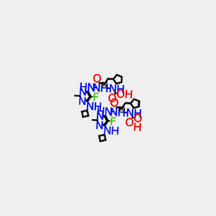 Cc1nc(NNC(=O)[C@@H](CNC(=O)O)CC2CCCC2)c(F)c(NC2CCC2)n1.Cc1nc(NNC(=O)[C@@H](CNC(=O)O)CC2CCCC2)c(F)c(NC2CCC2)n1